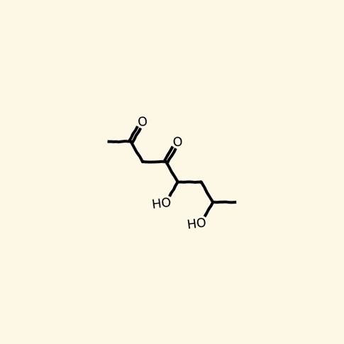 CC(=O)CC(=O)C(O)CC(C)O